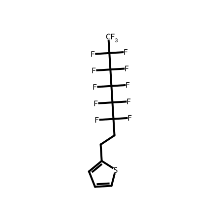 FC(F)(F)C(F)(F)C(F)(F)C(F)(F)C(F)(F)C(F)(F)CCc1cccs1